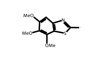 [CH2]c1nc2cc(OC)c(OC)c(OC)c2s1